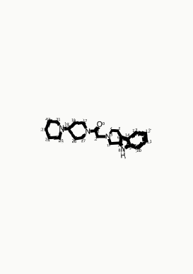 O=C(CN1CCc2c([nH]c3ccccc23)C1)N1CCC(N2CCCCC2)CC1